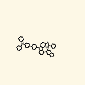 c1ccc(-c2nc3ccc4c5c6c(cccc6n4-c4ccc(-c6ccc(N(c7ccccc7)c7ccccc7)cc6)cc4)c4cc6ccccc6cc4n2c35)cc1